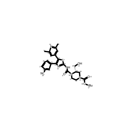 Cc1cc(-c2sc(NC(=O)N3CCN(C(=O)OC(C)(C)C)C[C@H]3CO)nc2-c2cccc(C#N)c2)cc(C)n1